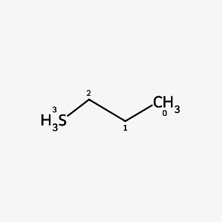 CCC[SH3]